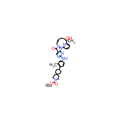 Cc1cc(Nc2ncc3c(=O)n4n(c3n2)-c2cccc(n2)[C@](C)(O)CC/C=C\C4)ccc1C1CCC2(CC1)CCN(C(=O)OC(C)(C)C)CC2